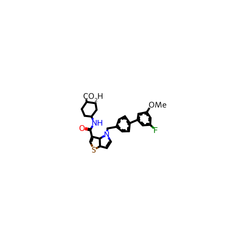 COc1cc(F)cc(-c2ccc(CN3C=CC4SC=C(C(=O)NC5CCC(C(=O)O)CC5)C43)cc2)c1